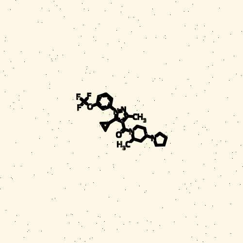 Cc1nn(-c2cccc(OC(F)(F)F)c2)c(C2CC2)c1C(=O)N1CCC(N2CCCC2)CC1C